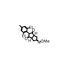 CCc1cc(C)cc(CC)c1C1C(=O)[C@H]2C/C(=N\OC)C[C@H]2C1=O